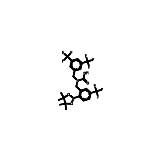 CC1(C)OB(c2ccc(C(F)(F)F)cc2CN(Cc2cc(C(F)(F)F)cc(C(F)(F)F)c2)C(=O)O)OC1(C)C